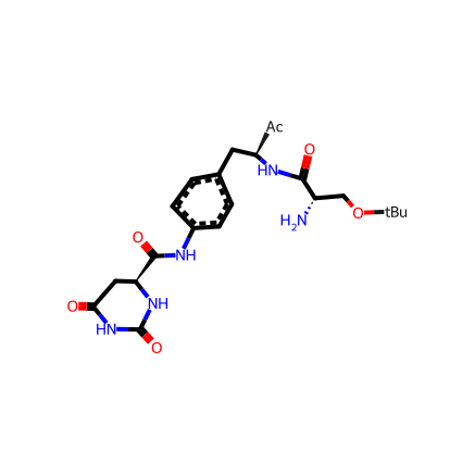 CC(=O)[C@H](Cc1ccc(NC(=O)[C@@H]2CC(=O)NC(=O)N2)cc1)NC(=O)[C@@H](N)COC(C)(C)C